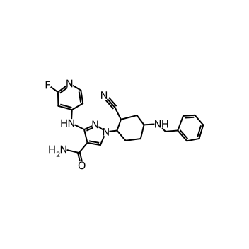 N#CC1CC(NCc2ccccc2)CCC1n1cc(C(N)=O)c(Nc2ccnc(F)c2)n1